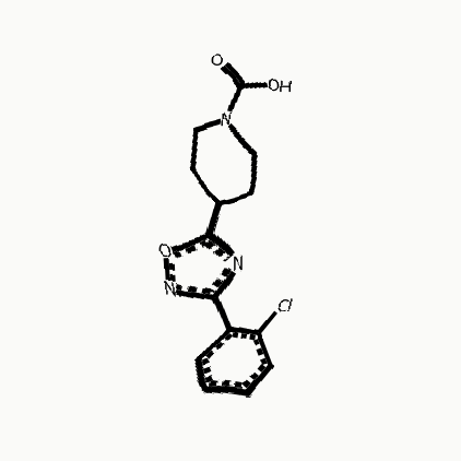 O=C(O)N1CCC(c2nc(-c3ccccc3Cl)no2)CC1